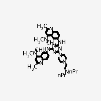 CCCN(CCC)CCN1CCN(c2nc(Nc3ccc4nc(C)cc(N(C)C)c4c3)nc(Nc3ccc4nc(C)cc(N(C)C)c4c3)n2)CC1